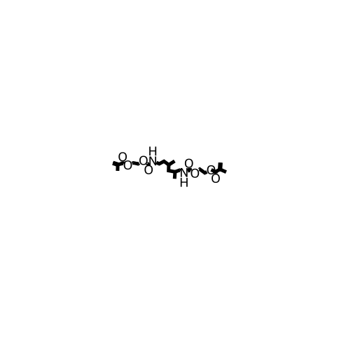 C=C(C)C(=O)OCCOC(=O)NCCC(C)CC(C)CNC(=O)OCCOC(=O)C(=C)C